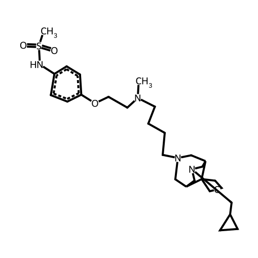 CN(CCCCN1CC2CN(CC3CC3)CC(C1)C21CCCC1)CCOc1ccc(NS(C)(=O)=O)cc1